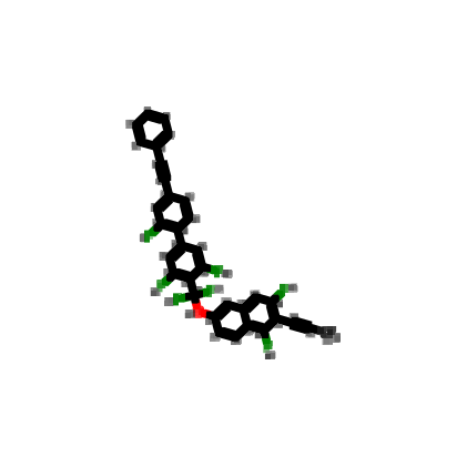 Fc1cc(C#Cc2ccccc2)ccc1-c1cc(F)c(C(F)(F)Oc2ccc3c(F)c(C#CC(F)(F)F)c(F)cc3c2)c(F)c1